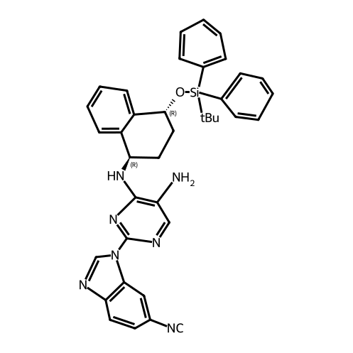 [C-]#[N+]c1ccc2ncn(-c3ncc(N)c(N[C@@H]4CC[C@@H](O[Si](c5ccccc5)(c5ccccc5)C(C)(C)C)c5ccccc54)n3)c2c1